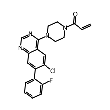 C=CC(=O)N1CCN(c2ncnc3cc(-c4ccccc4F)c(Cl)cc23)CC1